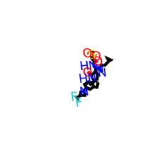 CC12C=CC(N3CC(C(F)F)C3)=CC1CC[C@@]21Cc2nn(CCC3CC3)c(NC(=O)CS(C)(=O)=O)c2C(=O)N1